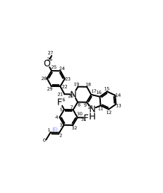 C/C=C/c1cc(F)c(C2c3[nH]c4ccccc4c3CCN2Cc2ccc(OC)cc2)c(F)c1